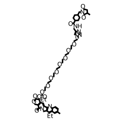 CCc1c2c(nc3ccc(C)cc13)-c1cc3c(c(=O)n1C2)COC(=O)[C@@]3(CC)OC(=O)OCCOCCOCCOCCOCCOCCOCCOCCn1cc(CNC(=O)C2CCC(CN3C(=O)CC(C)C3=O)CC2)nn1